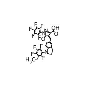 CCc1c(F)c(F)c(F)c(N2CCCc3cc(/C=C4\C(=O)N(c5c(F)c(F)c(F)c(F)c5F)N=C4C(=O)O)ccc32)c1F